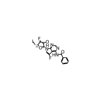 O=C(Nc1ncnc2c1c(F)cn2[C@@H]1O[C@H](CI)[C@@H](F)[C@H]1O)c1ccccc1